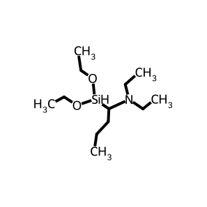 CCCC(N(CC)CC)[SiH](OCC)OCC